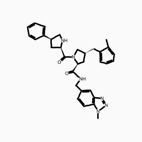 Cc1ccccc1C[C@@H]1C[C@@H](C(=O)NCc2ccc3c(c2)nnn3C)N(C(=O)[C@H]2C[C@@H](c3ccccc3)CN2)C1